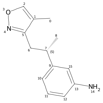 Cc1conc1C[C@H](C)c1cccc(N)c1